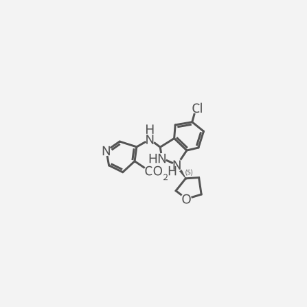 O=C(O)c1ccncc1NC1NN([C@H]2CCOC2)c2ccc(Cl)cc21